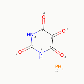 O=C1NC(=O)C(=O)C(=O)N1.P